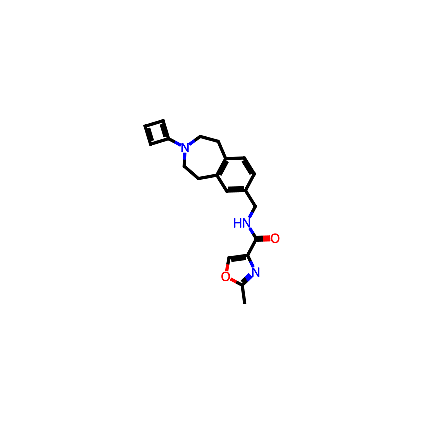 Cc1nc(C(=O)NCc2ccc3c(c2)CCN(C2=CC=C2)CC3)co1